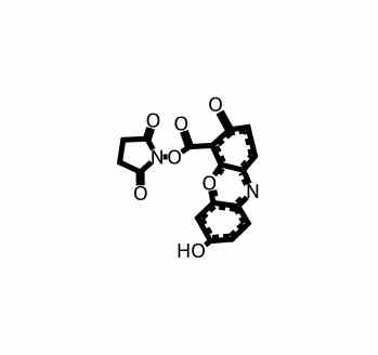 O=C(ON1C(=O)CCC1=O)c1c2oc3cc(O)ccc3nc-2ccc1=O